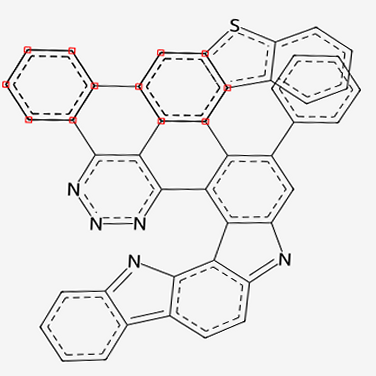 c1ccc(-c2ccccc2-c2c(-c3ccccc3)nnnc2-c2c3c(cc(-c4ccccc4)c2-c2cccc4sc5ccccc5c24)N=c2ccc4c(c2-3)N=c2ccccc2=4)cc1